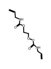 C=CCNC(=O)OCCOOC(=O)NCC=C